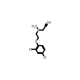 C#CCN(C)CCSc1ccc(Cl)cc1Cl